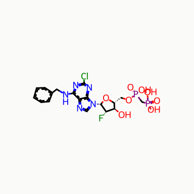 O=P(O)(O)CP(=O)(O)OC[C@H]1O[C@@H](n2cnc3c(NCc4ccccc4)nc(Cl)nc32)[C@@H](F)[C@@H]1O